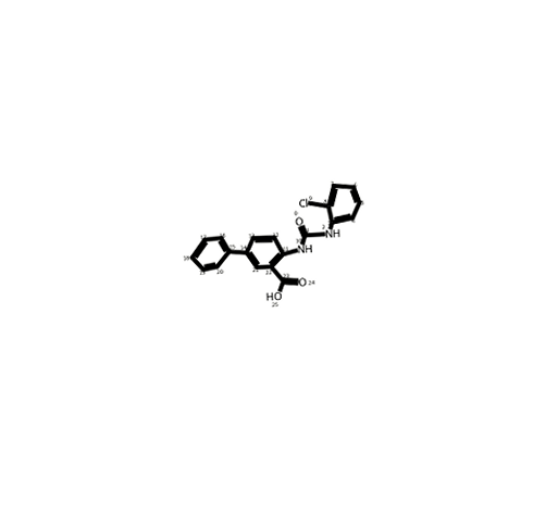 O=C(Nc1ccccc1Cl)Nc1ccc(-c2ccccc2)cc1C(=O)O